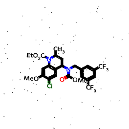 CCOC(=O)N1c2cc(OC)c(Cl)cc2C(N(Cc2cc(C(F)(F)F)cc(C(F)(F)F)c2)C(=O)OC)CC1C